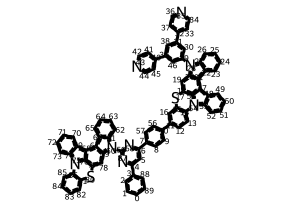 c1ccc(-c2cc(-c3ccc(-c4ccc5c(c4)Sc4cc6c(c7ccccc7n6-c6cc(-c7ccncc7)cc(-c7ccncc7)c6)c6c7ccccc7n-5c46)cc3)nc(-n3c4ccccc4c4c5c6ccccc6n6c5c(cc43)Sc3ccccc3-6)n2)cc1